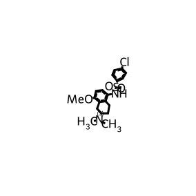 COc1ccc(NS(=O)(=O)c2ccc(Cl)cc2)c2c1C[C@@H](N(C)C)CC2